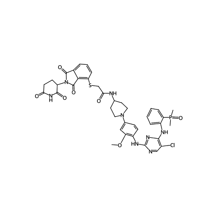 COc1cc(N2CCC(NC(=O)CSc3cccc4c3C(=O)N(C3CCC(=O)NC3=O)C4=O)CC2)ccc1Nc1ncc(Cl)c(Nc2ccccc2P(C)(C)=O)n1